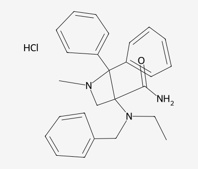 CCN(Cc1ccccc1)C1(C(N)=O)CN(C)C1(c1ccccc1)c1ccccc1.Cl